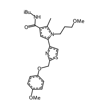 CCC(C)NC(=O)c1cc(-c2csc(COc3ccc(OC)cc3)n2)n(CCCOC)c1C